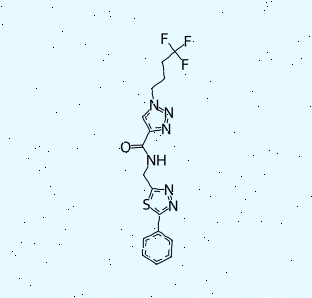 O=C(NCc1nnc(-c2ccccc2)s1)c1cn(CCCC(F)(F)F)nn1